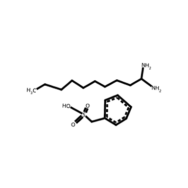 CCCCCCCCCC(N)N.O=S(=O)(O)Cc1ccccc1